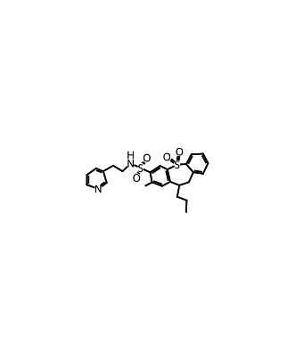 CCCC1Cc2ccccc2S(=O)(=O)c2cc(S(=O)(=O)NCCc3cccnc3)c(C)cc21